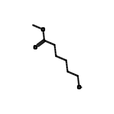 COC(=O)CCCCC[O]